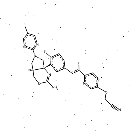 C#CCOc1cnc(/C(F)=C/c2ccc(F)c([C@]34CN(c5ncc(F)cn5)C[C@H]3CSC(N)=N4)c2)cn1